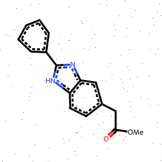 COC(=O)Cc1ccc2[nH]c(-c3ccccc3)nc2c1